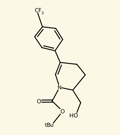 CC(C)(C)OC(=O)N1C=C(c2ccc(C(F)(F)F)cc2)CCC1CO